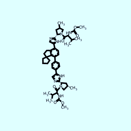 COC(=O)NC(C(=O)N1C[C@@H](C)C[C@H]1c1ncc(-c2ccc(-c3ccc(-c4cnc([C@@H]5CC(C)CN5C(=O)[C@@H](NC(=O)OC)C(C)C)[nH]4)c4c3C3(CCCC3)CC4)cc2)[nH]1)C(C)C